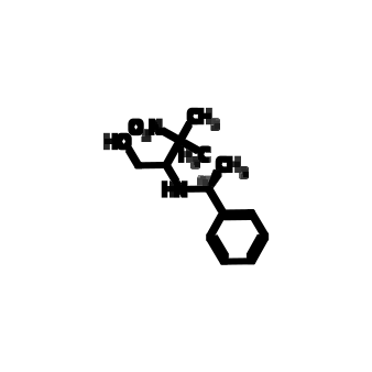 C[C@H](NC(CO)C(C)(C)[N+](=O)[O-])c1ccccc1